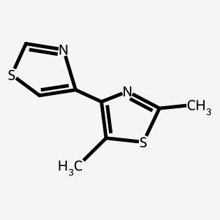 Cc1nc(-c2cscn2)c(C)s1